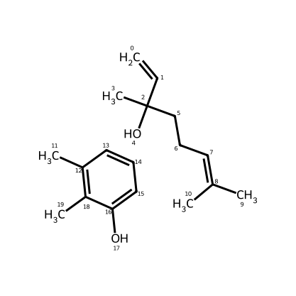 C=CC(C)(O)CCC=C(C)C.Cc1cccc(O)c1C